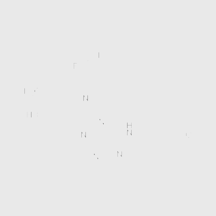 CC(C)c1ccnc(-c2nc3ncnc(NC(CCC=O)C4CCC4)c3n2Cc2ccc(C(F)(F)F)cc2)c1